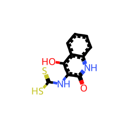 O=c1[nH]c2ccccc2c(O)c1NC(=S)S